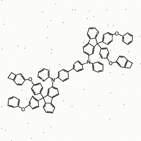 c1ccc(Oc2ccc(C3(c4ccc(Oc5ccc6c(c5)CC6)cc4)c4ccccc4-c4ccc(N(c5ccccc5)c5ccc(-c6ccc(N(c7ccccc7)c7ccc8c(c7)C(c7ccc(Oc9ccccc9)cc7)(c7ccc(Oc9ccc%10c(c9)CC%10)cc7)c7ccccc7-8)cc6)cc5)cc43)cc2)cc1